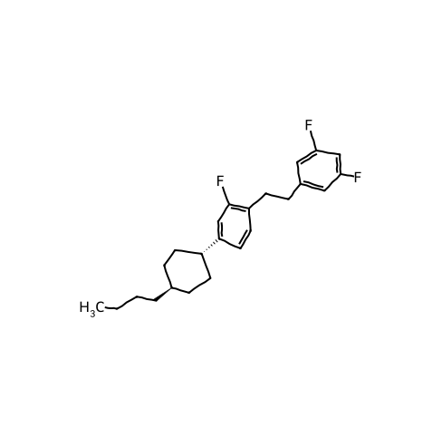 CCCC[C@H]1CC[C@H](c2ccc(CCc3cc(F)cc(F)c3)c(F)c2)CC1